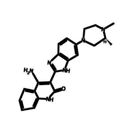 C[C@@H]1CN(c2ccc3nc(-c4c(N)c5ccccc5[nH]c4=O)[nH]c3c2)CCN1C